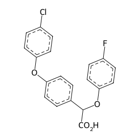 O=C(O)C(Oc1ccc(F)cc1)c1ccc(Oc2ccc(Cl)cc2)cc1